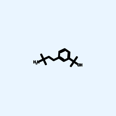 CC(C)(N)CCc1cccc(C(C)(C)O)c1